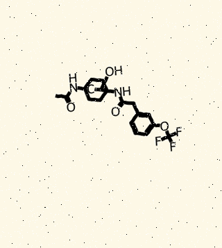 CC(=O)NC12CCC(NC(=O)Cc3cccc(OC(F)(F)F)c3)(CC1)C(O)C2